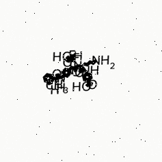 Cc1ccccc1NC(=O)Nc1ccc(CC(=O)N[C@@H](CCCCN)C(=O)Nc2ccc(C(=O)O)cc2)cc1.O=C(O)C(F)(F)F